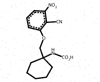 N#Cc1c(OCC2(NC(=O)O)CCCCC2)cccc1[N+](=O)[O-]